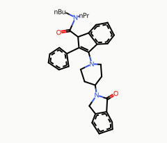 CCCCN(CCC)C(=O)C1C(c2ccccc2)=C(N2CCC(N3Cc4ccccc4C3=O)CC2)c2ccccc21